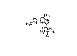 Cc1nc(-c2cc(C)n3ncc(C(=O)NC(C)(C)C4CC4)c3n2)co1